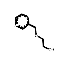 OCCOCc1cnccn1